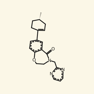 C[C@@H]1CC=C(c2ccc3c(c2)C(=O)N(Cc2ncccn2)CCO3)CC1